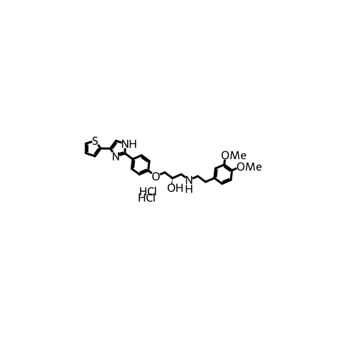 COc1ccc(CCNC[C@H](O)COc2ccc(-c3nc(-c4cccs4)c[nH]3)cc2)cc1OC.Cl.Cl